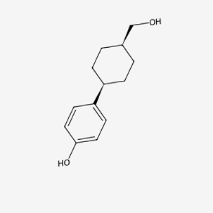 OC[C@H]1CC[C@@H](c2ccc(O)cc2)CC1